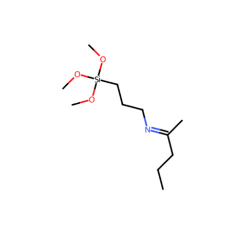 CCCC(C)=NCCC[Si](OC)(OC)OC